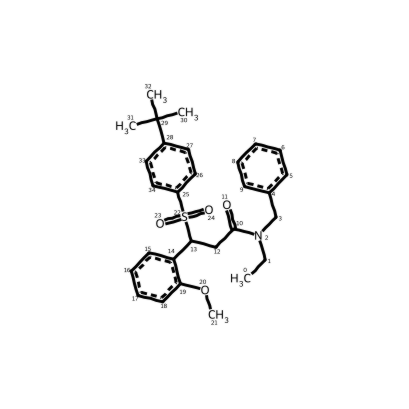 CCN(Cc1ccccc1)C(=O)CC(c1ccccc1OC)S(=O)(=O)c1ccc(C(C)(C)C)cc1